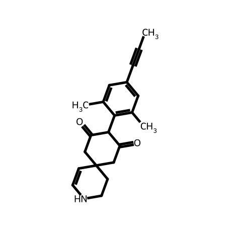 CC#Cc1cc(C)c(C2C(=O)CC3(C=CNCC3)CC2=O)c(C)c1